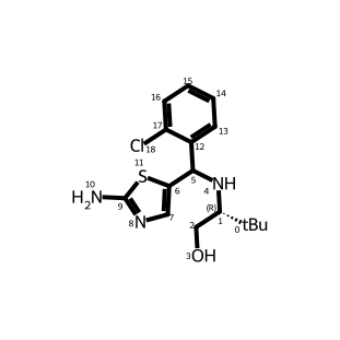 CC(C)(C)[C@H](CO)NC(c1cnc(N)s1)c1ccccc1Cl